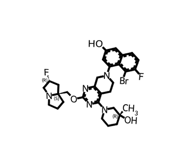 C[C@@]1(O)CCCN(c2nc(OC[C@@]34CCCN3C[C@H](F)C4)nc3c2CCN(c2cc(O)cc4ccc(F)c(Br)c24)C3)C1